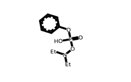 CCN(CC)OP(=O)(O)Oc1ccccc1